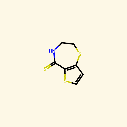 S=C1NCCSc2ccsc21